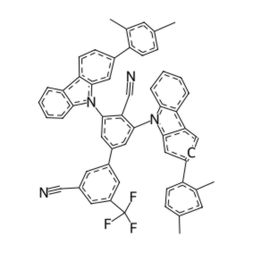 Cc1ccc(-c2ccc3c4ccccc4n(-c4cc(-c5cc(C#N)cc(C(F)(F)F)c5)cc(-n5c6ccccc6c6ccc(-c7ccc(C)cc7C)cc65)c4C#N)c3c2)c(C)c1